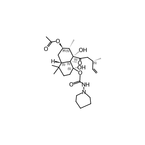 C=C[C@@H](C)CC(=O)[C@]1(O)[C@@H](C)[C@H](OC(C)=O)C[C@H]2C(C)(C)CC[C@](O)(OC(=O)NN3CCCCC3)[C@@]21C